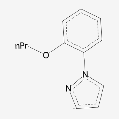 CCCOc1ccccc1-n1cc[c]n1